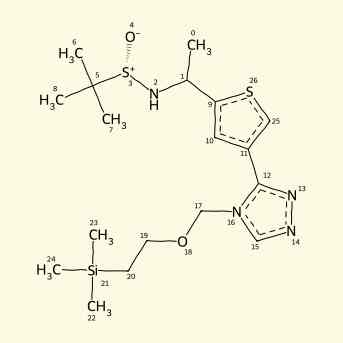 CC(N[S@@+]([O-])C(C)(C)C)c1cc(-c2nncn2COCC[Si](C)(C)C)cs1